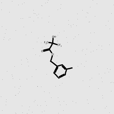 Cc1cccc(COC(=O)C(O)(C(F)(F)F)C(F)(F)F)c1